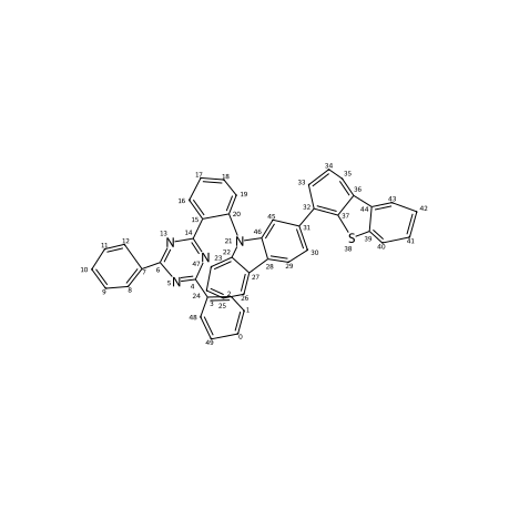 c1ccc(-c2nc(-c3ccccc3)nc(-c3ccccc3-n3c4ccccc4c4ccc(-c5cccc6c5sc5ccccc56)cc43)n2)cc1